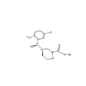 Cc1ccc(Cl)cc1[C@H](O)[C@@H]1CCCN(C(=O)OC(C)(C)C)C1